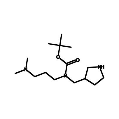 CN(C)CCCN(CC1CCNC1)C(=O)OC(C)(C)C